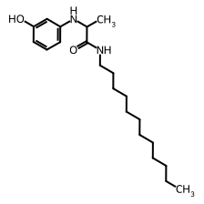 CCCCCCCCCCCCNC(=O)C(C)Nc1cccc(O)c1